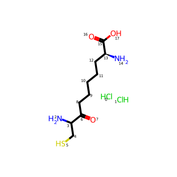 Cl.Cl.NC(CS)C(=O)CCCCC[C@H](N)C(=O)O